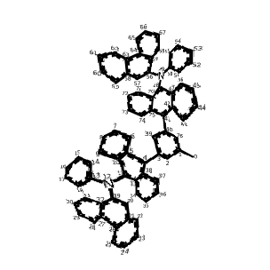 Cc1cc(-c2c3ccccc3c(N(c3ccccc3)c3cc4ccccc4c4ccccc34)c3ccccc23)cc(-c2c3ccccc3c(N(c3ccccc3)c3cc4ccccc4c4ccccc34)c3ccccc23)c1